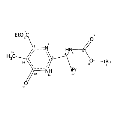 CCOC(=O)c1nc(C(NC(=O)OC(C)(C)C)C(C)C)[nH]c(=O)c1C